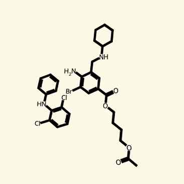 CC(=O)OCCCCOC(=O)c1cc(Br)c(N)c(CNC2CCCCC2)c1.Clc1cccc(Cl)c1Nc1ccccc1